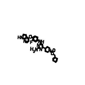 Nc1nc(Nc2ccc(Oc3ccnc4[nH]ccc34)c(F)c2)cc(C2CCN(C(=O)OCc3ccccc3)CC2)n1